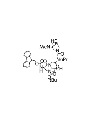 C#CCN(CC(=O)NC)C(=O)CN(CCC)C(=O)CN(CC#C)C(=O)C(CNC(=O)OC(C)(C)C)NC(=O)OCC1c2ccccc2-c2ccccc21